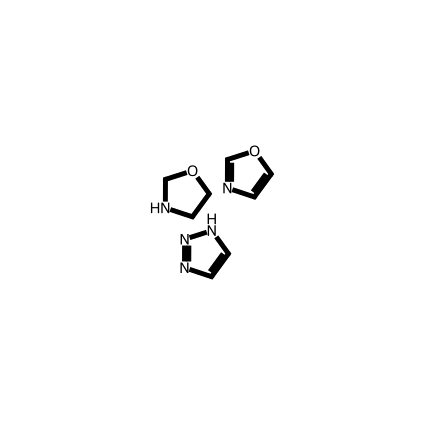 C1COCN1.c1c[nH]nn1.c1cocn1